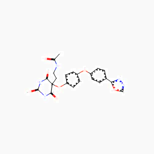 CC(C)C(=O)NCCC1(Oc2ccc(Oc3ccc(-c4nnco4)cc3)cc2)C(=O)NC(=O)NC1=O